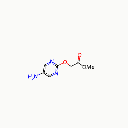 COC(=O)COc1ncc(N)cn1